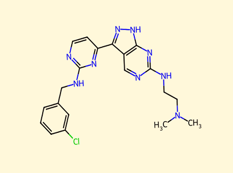 CN(C)CCNc1ncc2c(-c3ccnc(NCc4cccc(Cl)c4)n3)n[nH]c2n1